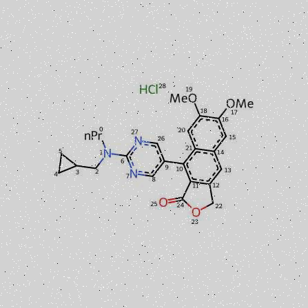 CCCN(CC1CC1)c1ncc(-c2c3c(cc4cc(OC)c(OC)cc24)COC3=O)cn1.Cl